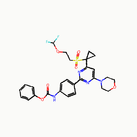 O=C(Nc1ccc(-c2nc(N3CCOCC3)cc(C3(S(=O)(=O)CCOC(F)F)CC3)n2)cc1)Oc1ccccc1